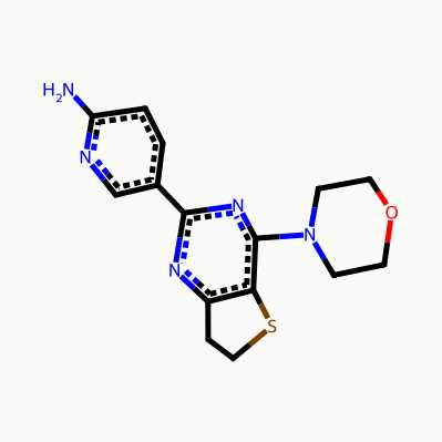 Nc1ccc(-c2nc3c(c(N4CCOCC4)n2)SCC3)cn1